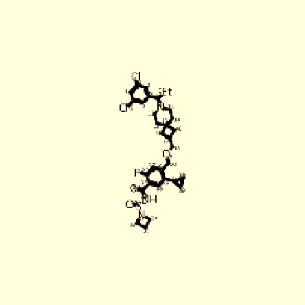 CCC(c1cc(Cl)cc(Cl)c1)N1CCC2(CC1)CC(COCc1cc(F)c(C(=O)N[S+]([O-])N3CCC3)cc1C1CC1)C2